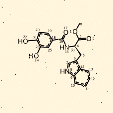 COC(=O)[C@@H](Cc1c[nH]c2ccccc12)NC(=O)c1ccc(O)c(O)c1